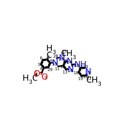 COC(=O)c1ccc(C)c(N2Cc3cnc(Nc4ccc(C)nc4)nc3N(C)C2)c1